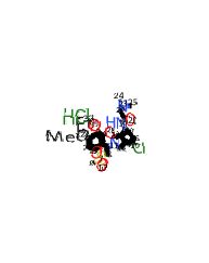 CCOc1cc(C(CS(C)(=O)=O)N2Cc3c(Cl)ccc(NC(=O)CN(C)C)c3C2=O)ccc1OC.Cl